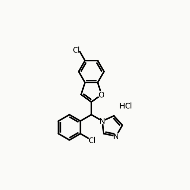 Cl.Clc1ccc2oc(C(c3ccccc3Cl)n3ccnc3)cc2c1